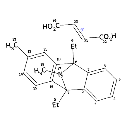 CCC12c3ccccc3C(CC)(c3cc(C)ccc31)N2C.O=C(O)/C=C/C(=O)O